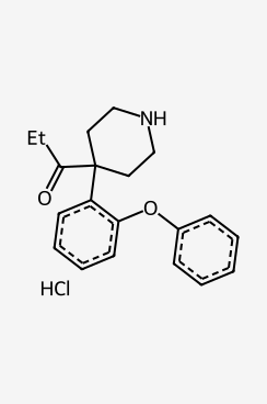 CCC(=O)C1(c2ccccc2Oc2ccccc2)CCNCC1.Cl